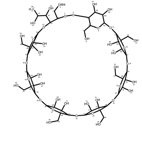 COCC1OOC2C(CO)OC(OC3C(CO)OC(OC4C(CO)OC(OC5C(CO)OC(OC6C(CO)OC(OC7C(CO)OC(OC8C(CO)OC(OC1C(O)C(C)O)C(O)C8O)C(O)C7O)C(O)C6O)C(O)C5O)C(O)C4O)C(O)C3O)C(O)C2O